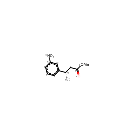 CC[C@@H](CC(=O)OC)c1cccc([N+](=O)[O-])c1